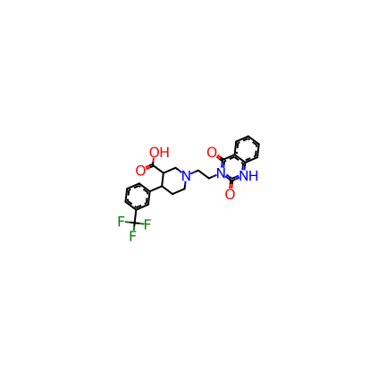 O=C(O)C1CN(CCn2c(=O)[nH]c3ccccc3c2=O)CCC1c1cccc(C(F)(F)F)c1